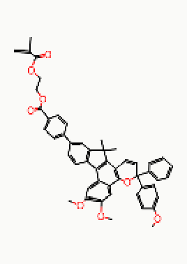 C=C(C)C(=O)OCCOC(=O)c1ccc(-c2ccc3c(c2)C(C)(C)c2c4c(c5cc(OC)c(OC)cc5c2-3)OC(c2ccccc2)(c2ccc(OC)cc2)C=C4)cc1